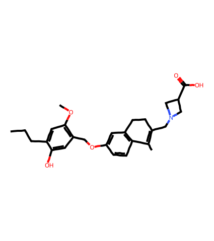 CCCc1cc(OC)c(COc2ccc3c(c2)CCC(CN2CC(C(=O)O)C2)=C3C)cc1O